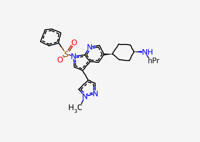 CCCN[C@H]1CC[C@@H](c2cnc3c(c2)c(-c2cnn(C)c2)cn3S(=O)(=O)c2ccccc2)CC1